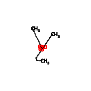 CCCCC/C=C\C/C=C\CCCCCCCCCC(=O)O[C@H](COC(=O)CCCCCCCCCCCCCCCC)COC(=O)CCCCCCCCCCCCCCCCCCCCC